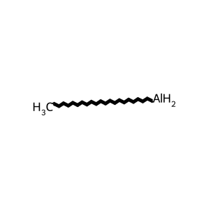 CCCCCCCCCCCCCCCCCCCCCC[CH2][AlH2]